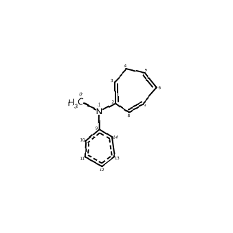 CN(C1=CCC=CC=C1)c1ccccc1